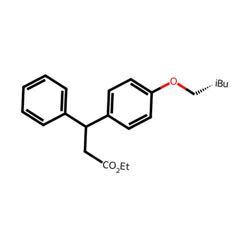 CCOC(=O)CC(c1ccccc1)c1ccc(OC[C@@H](C)CC)cc1